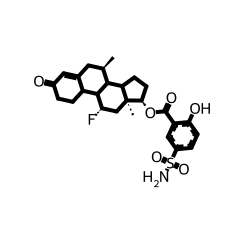 C[C@@H]1CC2=CC(=O)CCC2C2C1C1CC[C@H](OC(=O)c3cc(S(N)(=O)=O)ccc3O)[C@@]1(C)C[C@@H]2F